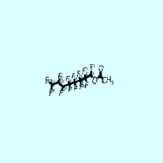 CC(=O)OC(F)C(F)(F)C(F)(F)C(F)(F)C(F)(F)C(F)C(F)C(F)F